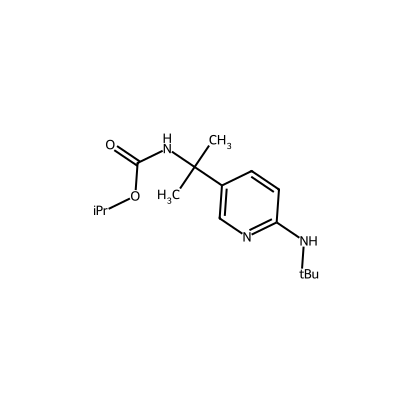 CC(C)OC(=O)NC(C)(C)c1ccc(NC(C)(C)C)nc1